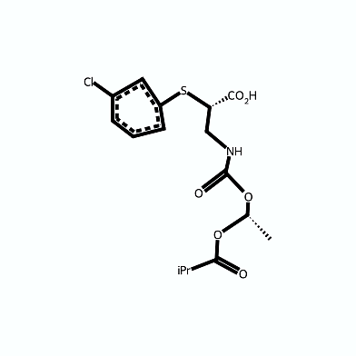 CC(C)C(=O)O[C@@H](C)OC(=O)NC[C@H](Sc1cccc(Cl)c1)C(=O)O